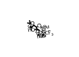 CCCCOC[C@]1(COS(=O)(=O)C(F)(F)F)O[C@@H]2OC(C)(C)OC2C1OCCCC